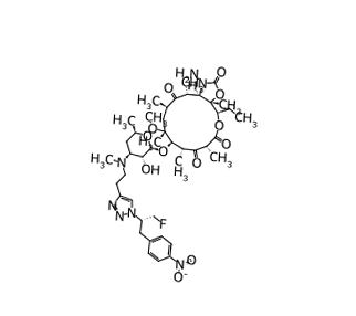 CC[C@H]1OC(=O)[C@H](C)C(=O)[C@H](C)[C@@H](O[C@@H]2O[C@H](C)C[C@H](N(C)CCc3cn([C@H](CF)Cc4ccc([N+](=O)[O-])cc4)nn3)[C@H]2O)[C@](C)(OC)C[C@@H](C)C(=O)[C@H](C)[C@H]2N(N)C(=O)O[C@]12C